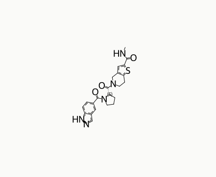 CNC(=O)c1cc2c(s1)CCN(C(=O)[C@@H]1CCCN1C(=O)c1ccc3[nH]ncc3c1)C2